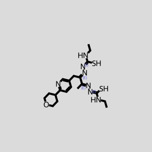 CCN/C(S)=N/N=C(C)/C(Cc1ccc(C2CCOCC2)nc1)=N/N=C(\S)NCC